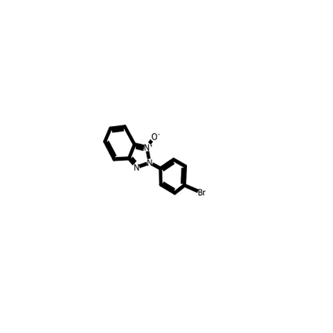 [O-][n+]1c2ccccc2nn1-c1ccc(Br)cc1